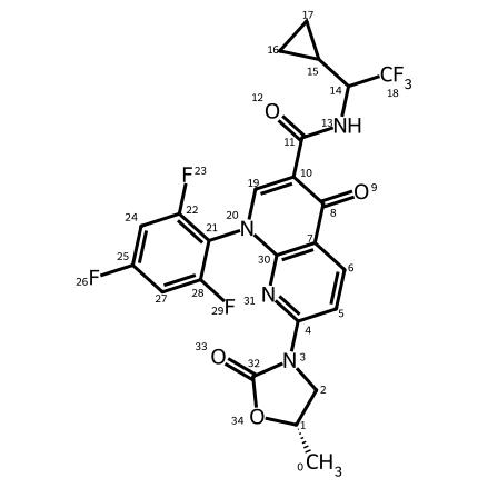 C[C@H]1CN(c2ccc3c(=O)c(C(=O)NC(C4CC4)C(F)(F)F)cn(-c4c(F)cc(F)cc4F)c3n2)C(=O)O1